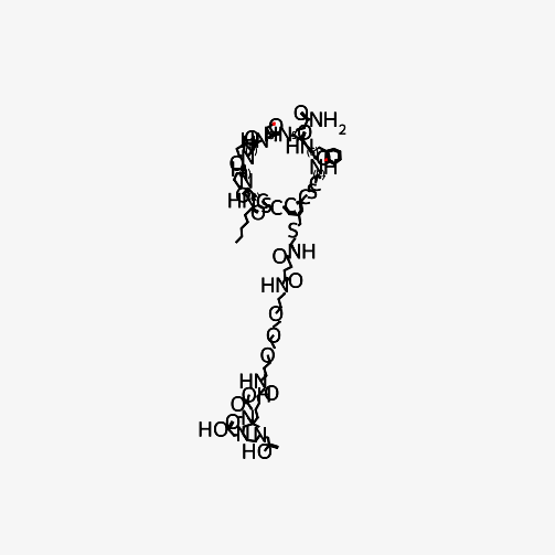 C=C(O)CN1CCN(CC(=O)O)CC(CCCCC(=O)NCCCOCCOCCOCCCNC(=O)CCC(=O)NCCSCc2cc3cc(c2)CSC[C@H](NC(=O)CCCCC)C(=O)N2CCC[C@H]2C(=O)N2CCC[C@H]2C(=O)N[C@@H](CC)C(=O)N[C@@H](CCC(N)=O)C(=O)N[C@@H](Cc2ccccc2)C(=O)N[C@H](C)CSC3)(N(C)CC(=O)O)C1